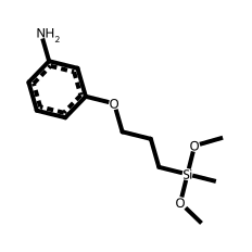 CO[Si](C)(CCCOc1cccc(N)c1)OC